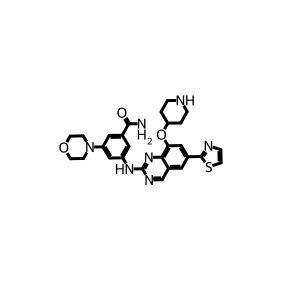 NC(=O)c1cc(Nc2ncc3cc(-c4nccs4)cc(OC4CCNCC4)c3n2)cc(N2CCOCC2)c1